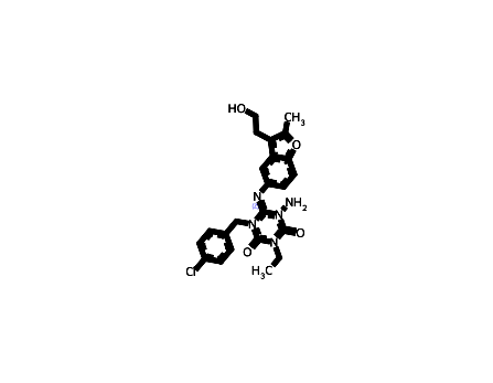 CCn1c(=O)n(N)/c(=N\c2ccc3oc(C)c(CCO)c3c2)n(Cc2ccc(Cl)cc2)c1=O